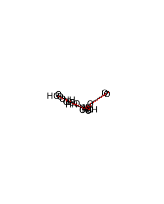 CC(C)(C)OC(=O)CCCCCCCCCCCCCCCOc1ccc(N(c2cnc(C(=O)NCCCCCC(=O)NCCOCCOCC(=O)NCCOCCOCC(=O)O)nc2)[SH](=O)=O)cc1